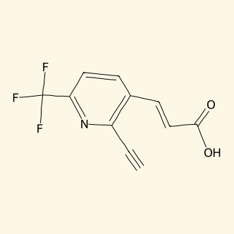 C#Cc1nc(C(F)(F)F)ccc1C=CC(=O)O